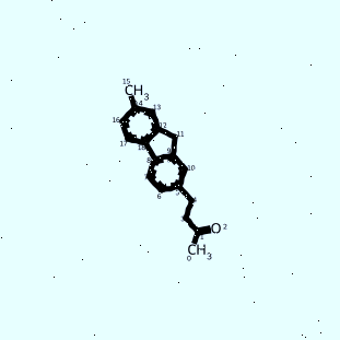 CC(=O)CCc1ccc2c(c1)Cc1cc(C)ccc1-2